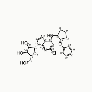 OC[C@H]1O[C@@H](n2cnc3c(NC4CCCC4Oc4ccccc4)nc(Cl)nc32)C(O)C1O